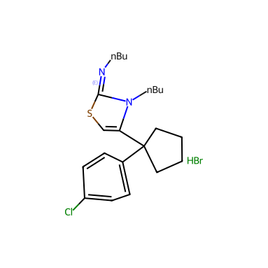 Br.CCCC/N=c1/scc(C2(c3ccc(Cl)cc3)CCCC2)n1CCCC